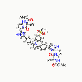 COC(=O)N[C@H](C(=O)N1CCC[C@H]1c1nc(-c2ccc(-c3ccc(-c4ccc(-c5c[nH]c([C@@H]6CCCN6C(=O)[C@@H](NC(=O)OC)C(C)C)n5)cc4)n3-c3ccc(S(C)(=O)=O)cc3)cc2)c[nH]1)C(C)C